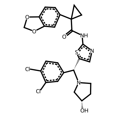 O=C(Nc1ncc([C@@H](c2ccc(Cl)c(Cl)c2)N2CC[C@H](O)C2)s1)C1(c2ccc3c(c2)OCO3)CC1